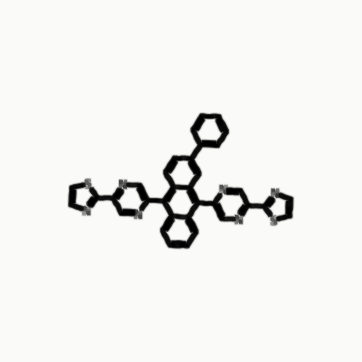 c1ccc(-c2ccc3c(-c4cnc(-c5nccs5)cn4)c4ccccc4c(-c4cnc(-c5nccs5)cn4)c3c2)cc1